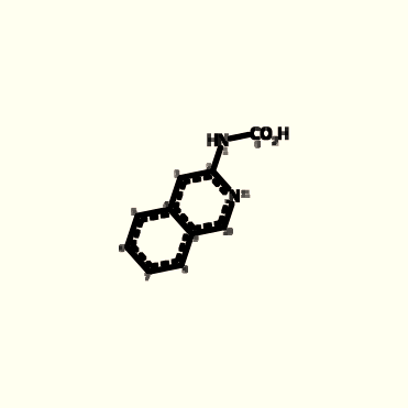 O=C(O)Nc1cc2ccccc2cn1